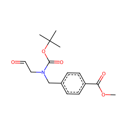 COC(=O)c1ccc(CN(CC=O)C(=O)OC(C)(C)C)cc1